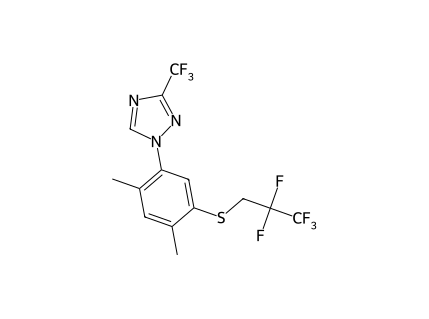 Cc1cc(C)c(-n2cnc(C(F)(F)F)n2)cc1SCC(F)(F)C(F)(F)F